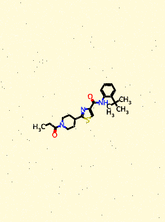 CCC(=O)N1CCC(c2nc(C(=O)Nc3ccccc3C(C)(C)C)cs2)CC1